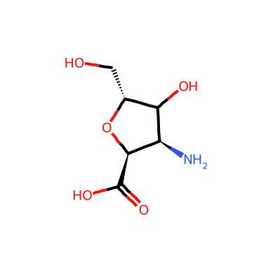 N[C@@H]1C(O)[C@@H](CO)O[C@@H]1C(=O)O